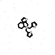 c1coc(C[Si](Cc2ccco2)(Cc2ccco2)C2CCCCC2)c1